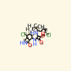 CC(C)(C)[C@H](Nc1c(Nc2ccc(Cl)c3c2C(=O)NC3)c(=O)c1=O)c1ccc(Cl)o1